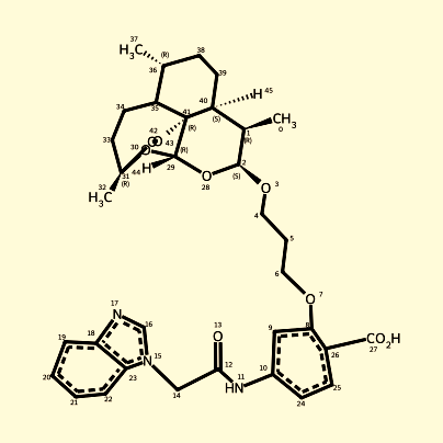 C[C@H]1[C@@H](OCCCOc2cc(NC(=O)Cn3cnc4ccccc43)ccc2C(=O)O)O[C@@H]2O[C@@]3(C)CCC4[C@H](C)CC[C@@H]1[C@]42OO3